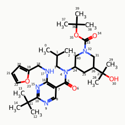 CC(C)CN(C(=O)c1cnc(C(C)(C)C)nc1NCc1ccco1)C1CC(C(C)(C)O)CN(C(=O)OC(C)(C)C)C1